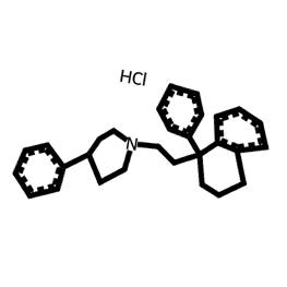 Cl.c1ccc(C2CCN(CCC3(c4ccccc4)CCCc4ccccc43)CC2)cc1